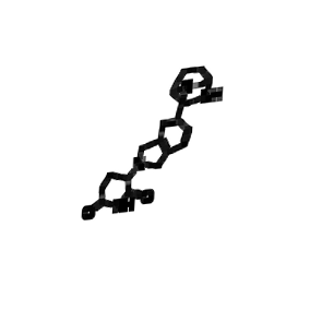 O=C1CCC(N2Cc3ccc(N4CC5CCC4CN5)cc3C2)C(=O)N1